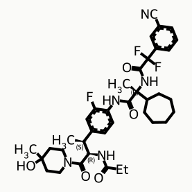 CCC(=O)N[C@@H](C(=O)N1CCC(C)(O)CC1)[C@@H](C)c1ccc(NC(=O)[C@](C)(NC(=O)C(F)(F)c2cccc(C#N)c2)C2CCCCCC2)c(F)c1